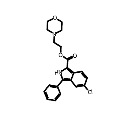 O=C(OCCN1CCOCC1)c1[nH]c(-c2ccccc2)c2cc(Cl)ccc12